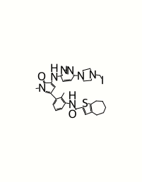 Cc1c(NC(=O)c2cc3c(s2)CCCCC3)cccc1-c1cc(Nc2ccc(N3CCN(CI)CC3)nn2)c(=O)n(C)c1